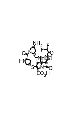 C[C@@H](NC(=O)C(F)F)[C@H]1C(=O)N2C(C(=O)O)=C(S[C@@H]3CN[C@H](C(=O)N4C[C@@H](N)C[C@H]4CN)C3)[C@H](C)[C@H]12